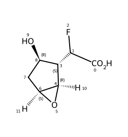 O=C(O)C(F)[C@@H]1[C@H]2O[C@H]2C[C@H]1O